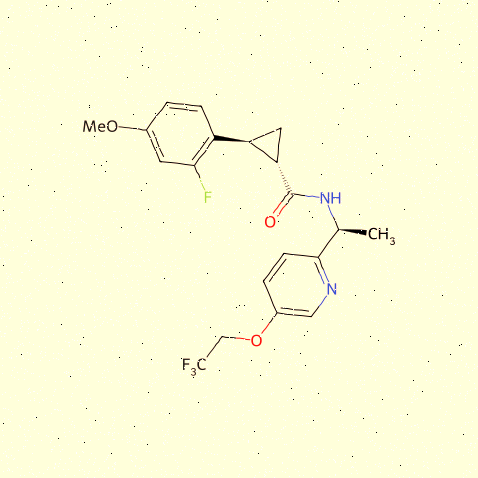 COc1ccc([C@H]2C[C@@H]2C(=O)N[C@@H](C)c2ccc(OCC(F)(F)F)cn2)c(F)c1